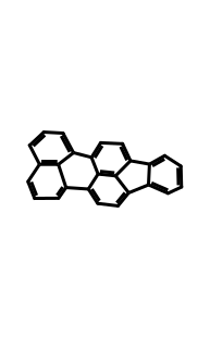 c1ccc2c(c1)-c1ccc3c4cccc5cccc(c6ccc-2c1c36)c54